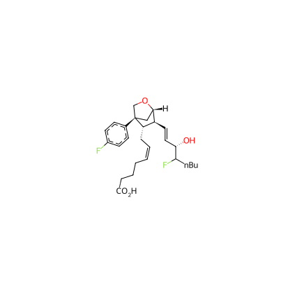 CCCCC(F)[C@@H](O)/C=C/[C@@H]1[C@@H]2C[C@@](c3ccc(F)cc3)(CO2)[C@H]1C/C=C\CCCC(=O)O